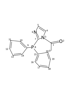 CC(=O)n1ccnc1P(c1ccccc1)c1ccccc1